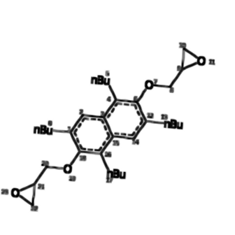 CCCCc1cc2c(CCCC)c(OCC3CO3)c(CCCC)cc2c(CCCC)c1OCC1CO1